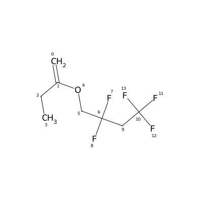 C=C(CC)OCC(F)(F)CC(F)(F)F